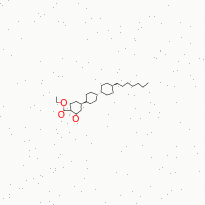 CCCCCCC[C@H]1CC[C@H](C2CCC([C@@H]3CC[C@](C)(C(=O)OCC)C(=O)C3)CC2)CC1